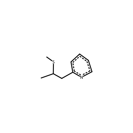 CSC(C)Cc1ccccn1